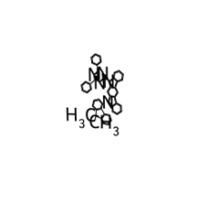 CC1(C)c2ccccc2-c2c(-n3c4ccccc4c4cc5c6ccccc6n(-c6nc(-c7ccccc7)nc(-c7ccccc7)n6)c5cc43)cccc21